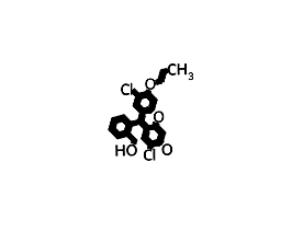 CC=COc1cc2oc3cc(=O)c(Cl)cc-3c(-c3ccccc3CO)c2cc1Cl